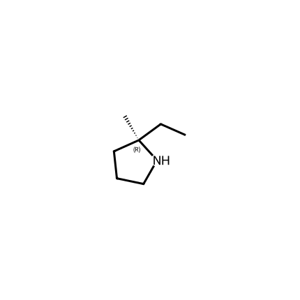 CC[C@]1(C)CCCN1